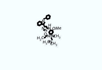 C=CC(=O)Nc1cc(Nc2cc(-c3cn(Cc4ccccc4)c4ccccc34)ncn2)c(OC)cc1N(C)CCN(C)C